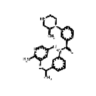 CC(Oc1cc(Cl)cnc1N)c1cccc(NC(=O)c2cccc(N3CCNCC3C)c2)c1